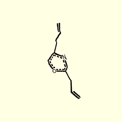 C=CCc1coc(CC=C)n1